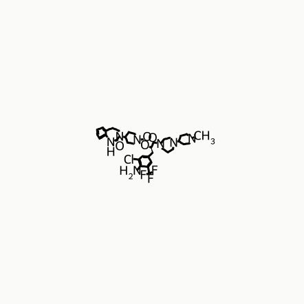 CN1CCC(N2CCCN(C(=O)[C@@H](Cc3cc(Cl)c(N)c(C(F)(F)F)c3)OC(=O)N3CCC(N4CCc5ccccc5NC4=O)CC3)CC2)CC1